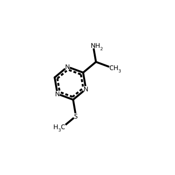 CSc1ncnc(C(C)N)n1